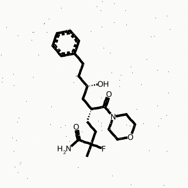 CC(F)(CC[C@H](C[C@@H](O)[CH]Cc1ccccc1)C(=O)N1CCOCC1)C(N)=O